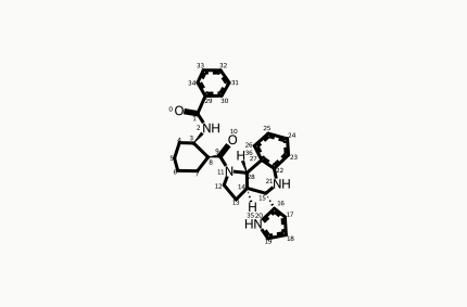 O=C(N[C@@H]1CCCC[C@@H]1C(=O)N1CC[C@@H]2[C@@H](c3ccc[nH]3)Nc3ccccc3[C@H]21)c1ccccc1